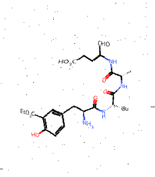 CCOC(=O)c1cc(C[C@H](N)C(=O)N[C@H](C(=O)N[C@@H](C)C(=O)NC(C=O)CCC(=O)O)[C@@H](C)CC)ccc1O